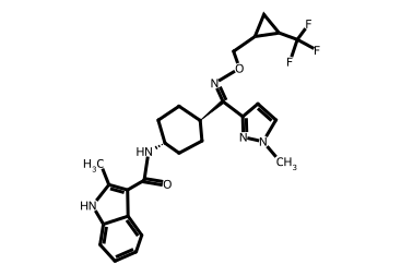 Cc1[nH]c2ccccc2c1C(=O)N[C@H]1CC[C@H](/C(=N/OCC2CC2C(F)(F)F)c2ccn(C)n2)CC1